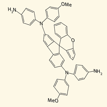 COc1ccc(N(c2ccc(N)cc2)c2ccc3c(c2)C2(c4ccccc4Oc4ccccc42)c2cc(N(c4ccc(N)cc4)c4ccc(OC)cc4)ccc2-3)cc1